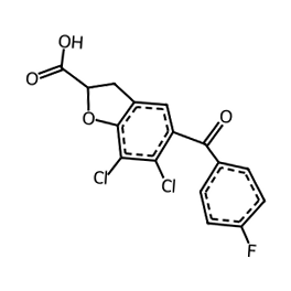 O=C(c1ccc(F)cc1)c1cc2c(c(Cl)c1Cl)OC(C(=O)O)C2